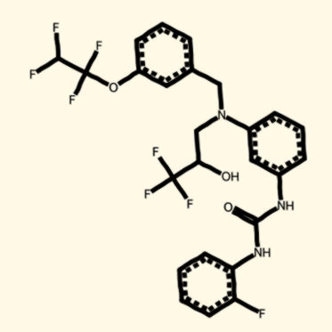 O=C(Nc1cccc(N(Cc2cccc(OC(F)(F)C(F)F)c2)CC(O)C(F)(F)F)c1)Nc1ccccc1F